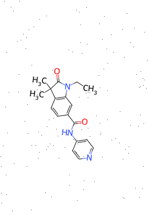 CCN1C(=O)C(C)(C)c2ccc(C(=O)Nc3ccncc3)cc21